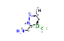 Cl.Cl.N#Cc1ccc(CN)nn1